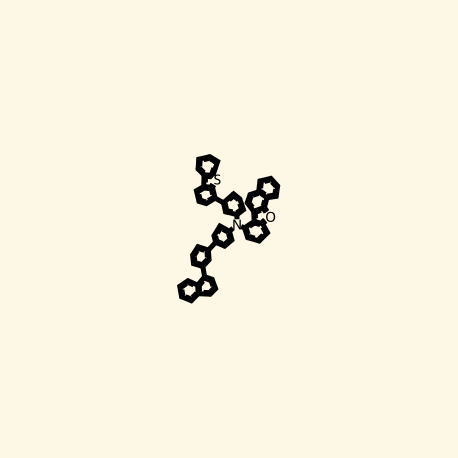 c1cc(-c2ccc(N(c3cccc(-c4cccc5c4sc4ccccc45)c3)c3cccc4oc5c6ccccc6ccc5c34)cc2)cc(-c2cccc3ccccc23)c1